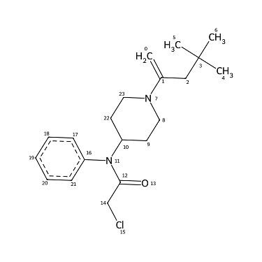 C=C(CC(C)(C)C)N1CCC(N(C(=O)CCl)c2ccccc2)CC1